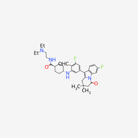 CCN(CC)CCNC(=O)[C@H]1CC[C@H](Nc2cc(-c3c4n(c5cc(F)ccc35)C(=O)CC(C)(C)C4)cc(F)c2C=O)CC1